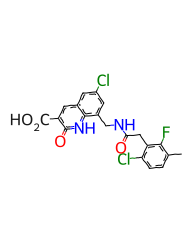 Cc1ccc(Cl)c(CC(=O)NCc2cc(Cl)cc3cc(C(=O)O)c(=O)[nH]c23)c1F